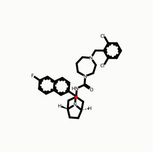 O=C(NC1C[C@H]2CC[C@H](C1)N2Cc1ccc2cc(F)ccc2c1)N1CCCN(Cc2c(Cl)cccc2Cl)CC1